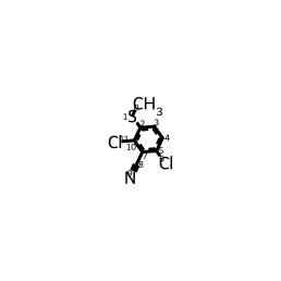 CSc1ccc(Cl)c(C#N)c1Cl